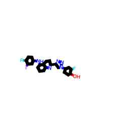 Oc1ccc(-n2cc(-c3ccc4c(Nc5ccc(F)c(I)c5)cccc4n3)nn2)cc1F